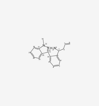 C=CCC(N)c1ccccc1-c1nn(C)c2ccccc12